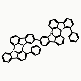 c1ccc(-c2cccc3c2B2c4c-3cccc4-n3c4cc(-c5ccc6c(c5)B5c7c-6cccc7-n6c7ccccc7c7ccc(-c8ccccc8)c5c76)ccc4c4cccc2c43)cc1